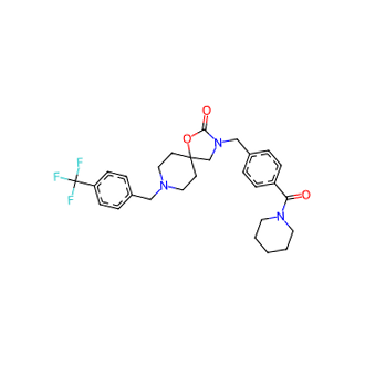 O=C1OC2(CCN(Cc3ccc(C(F)(F)F)cc3)CC2)CN1Cc1ccc(C(=O)N2CCCCC2)cc1